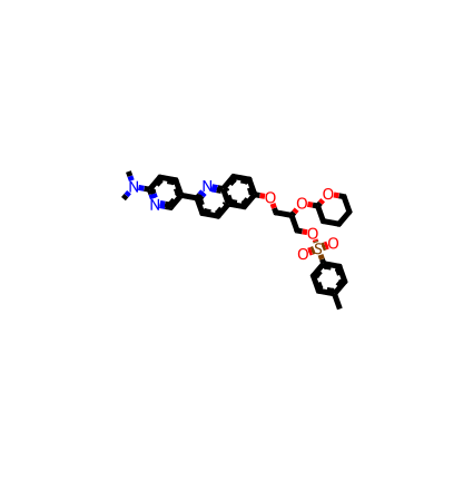 Cc1ccc(S(=O)(=O)OCC(COc2ccc3nc(-c4ccc(N(C)C)nc4)ccc3c2)OC2CCCCO2)cc1